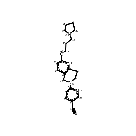 C#Cc1ccc(N2CCc3nc(OCCCN4CCCC4)ccc3C2)nc1